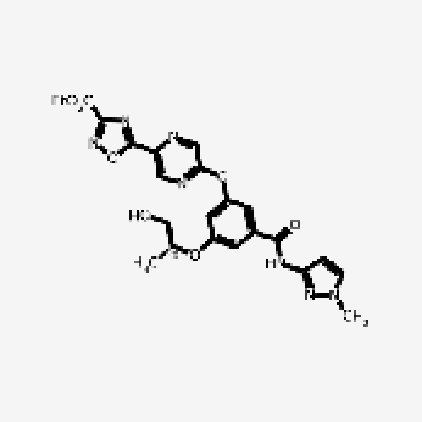 CCOC(=O)c1noc(-c2cnc(Oc3cc(O[C@@H](C)CO)cc(C(=O)Nc4ccn(C)n4)c3)cn2)n1